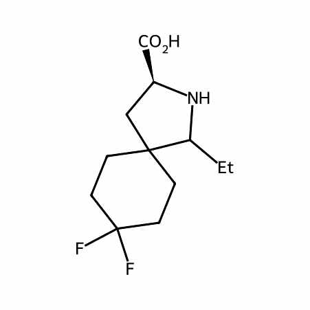 CCC1N[C@H](C(=O)O)CC12CCC(F)(F)CC2